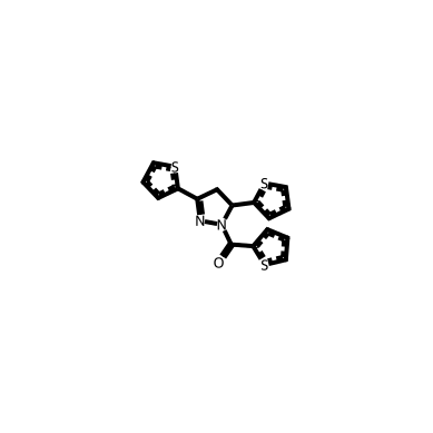 O=C(c1cccs1)N1N=C(c2cccs2)CC1c1cccs1